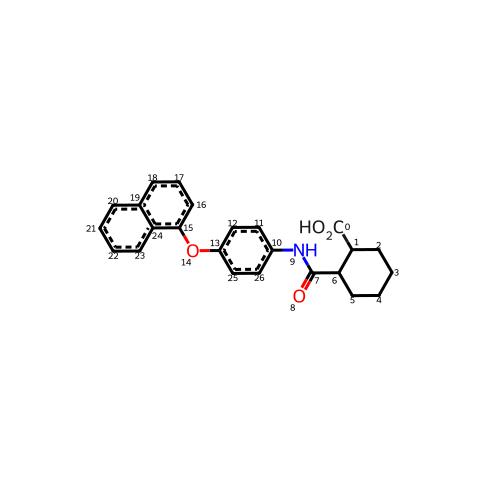 O=C(O)C1CCCCC1C(=O)Nc1ccc(Oc2cccc3ccccc23)cc1